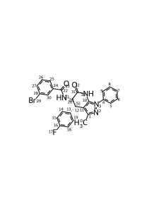 Cc1nn(-c2ccccc2)c2c1[C@H](c1ccc(F)cc1)[C@H](NC(=O)c1cccc(Br)c1)C(=O)N2